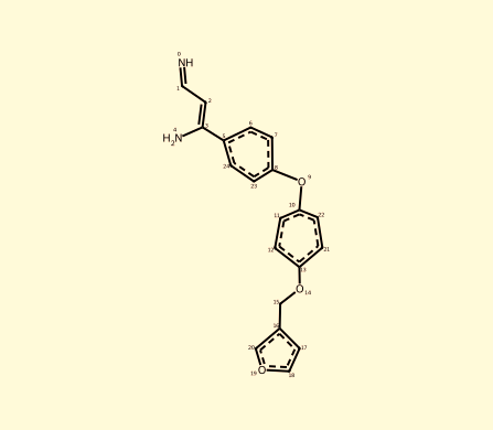 N=C/C=C(\N)c1ccc(Oc2ccc(OCc3ccoc3)cc2)cc1